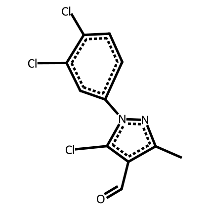 Cc1nn(-c2ccc(Cl)c(Cl)c2)c(Cl)c1C=O